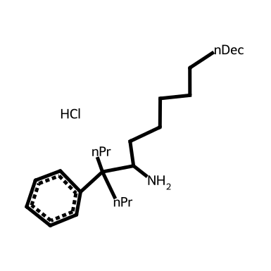 CCCCCCCCCCCCCCCC(N)C(CCC)(CCC)c1ccccc1.Cl